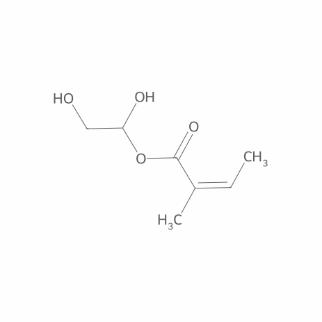 CC=C(C)C(=O)OC(O)CO